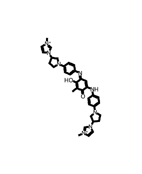 CC1=C(O)/C(=N\c2ccc(N3CCC(n4cc[n+](C)c4)C3)cc2)C=C(Nc2ccc(N3CCC(n4cc[n+](C)c4)C3)cc2)C1=O